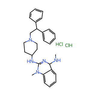 CNC1N=C(NC2CCN(CC(c3ccccc3)c3ccccc3)CC2)N(C)c2ccccc21.Cl.Cl